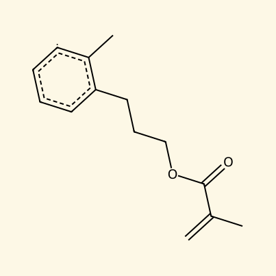 C=C(C)C(=O)OCCCc1ccc[c]c1C